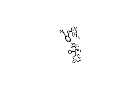 CC(C)Oc1cc(-c2cnc(NC(=O)C3COCCO3)s2)ccc1C#N